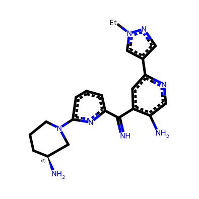 CCn1cc(-c2cc(C(=N)c3cccc(N4CCC[C@H](N)C4)n3)c(N)cn2)cn1